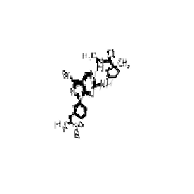 CNC(=O)[C@]1(C)CC[C@@H](Nc2ncc3c(Br)nn(-c4cccc(CC(C)[SH](=O)=O)c4)c3n2)C1